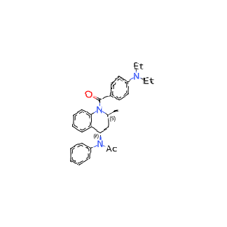 CCN(CC)c1ccc(C(=O)N2c3ccccc3[C@H](N(C(C)=O)c3ccccc3)C[C@@H]2C)cc1